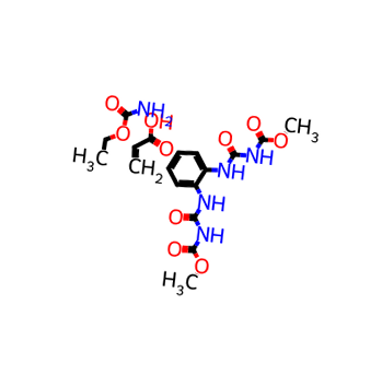 C=CC(=O)O.CCOC(N)=O.COC(=O)NC(=O)Nc1ccccc1NC(=O)NC(=O)OC